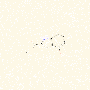 COC(O)c1cc2c(O)cccc2[nH]1